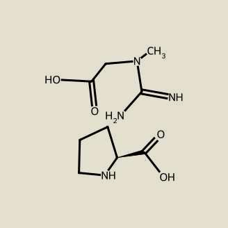 CN(CC(=O)O)C(=N)N.O=C(O)[C@@H]1CCCN1